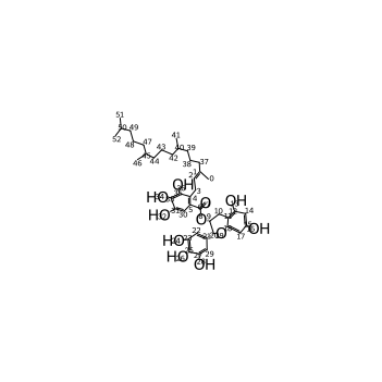 C/C(=C\Cc1c(C(=O)O[C@@H]2Cc3c(O)cc(O)cc3O[C@@H]2c2cc(O)c(O)c(O)c2)cc(O)c(O)c1O)CCCC(C)CCCC(C)CCCC(C)C